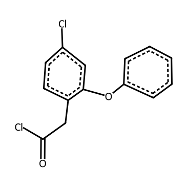 O=C(Cl)Cc1ccc(Cl)cc1Oc1ccccc1